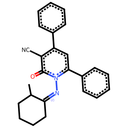 CC1CCCC/C1=N/n1c(-c2ccccc2)cc(-c2ccccc2)c(C#N)c1=O